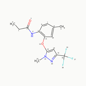 CCC(=O)Nc1ccc(C)cc1Oc1cc(C(F)(F)F)nn1C